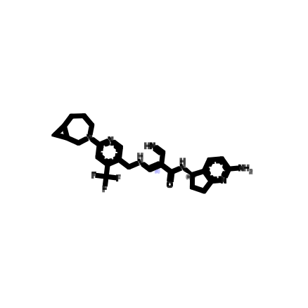 N=C/C(=C\NCc1cnc(N2CCCC3CC3C2)cc1C(F)(F)F)C(=O)N[C@@H]1CCc2nc(N)ccc21